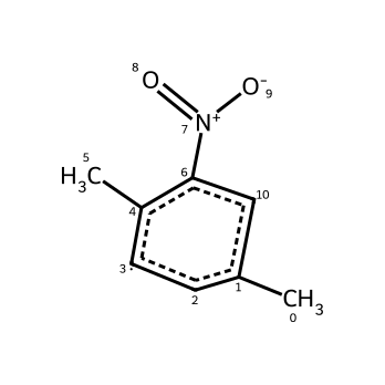 Cc1c[c]c(C)c([N+](=O)[O-])c1